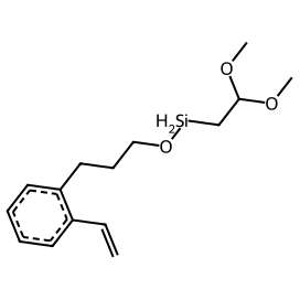 C=Cc1ccccc1CCCO[SiH2]CC(OC)OC